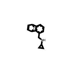 C1=CC2OC1c1cccc(CNC3CC3)c12